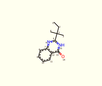 CCC(C)(C)c1nc2ccccc2c(=O)[nH]1